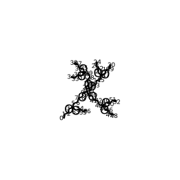 C=CCOC(CCCOCC(COCCCC(OCC=C)OCC=C)(COCCCC(OCC=C)OCC=C)COCCCC(OCC=C)OCC=C)OCC=C